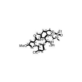 CCS(=O)(=O)N(C)Cn1ncc2cc(C)c(NC(=O)c3cc(OC)nn3-c3ncccc3Cl)c(C(=O)NC(C)C)c21